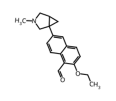 CCOc1ccc2cc(C34CC3CN(C)C4)ccc2c1C=O